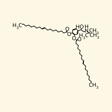 CCCCCCCCC=CCCCCCCCC(=O)Oc1ccc(C(O)CNC(C)(C)C)cc1OC(=O)CCCCCCCC=CCCCCCCCC